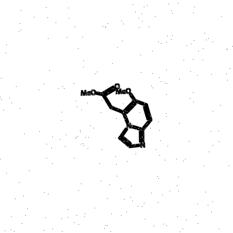 COC(=O)Cc1c(OC)ccc2nccn12